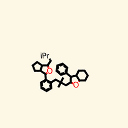 CC(C)CC1OC(c2ccccc2CC(C)(C)CC2OC3CCCCC3C2c2ccccc2)C2CCCC12